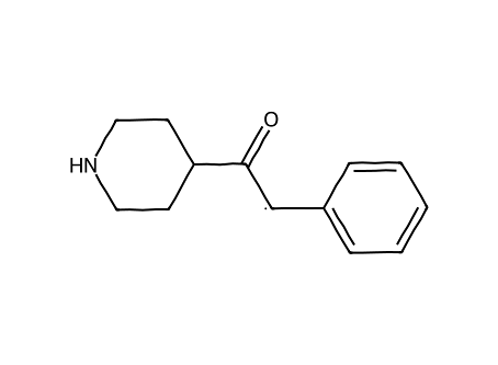 O=C([CH]c1ccccc1)C1CCNCC1